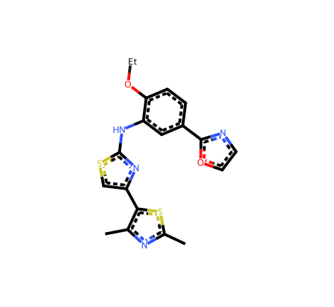 CCOc1ccc(-c2ncco2)cc1Nc1nc(-c2sc(C)nc2C)cs1